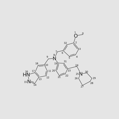 COc1cccc(CN(Cc2ccc3cn[nH]c3c2)c2cccc(CN3CCCCC3)c2)c1